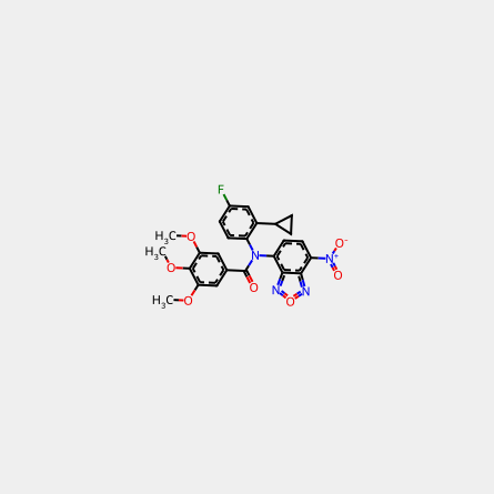 COc1cc(C(=O)N(c2ccc(F)cc2C2CC2)c2ccc([N+](=O)[O-])c3nonc23)cc(OC)c1OC